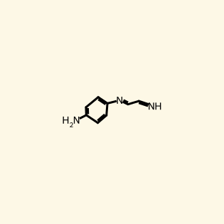 N=CC=Nc1ccc(N)cc1